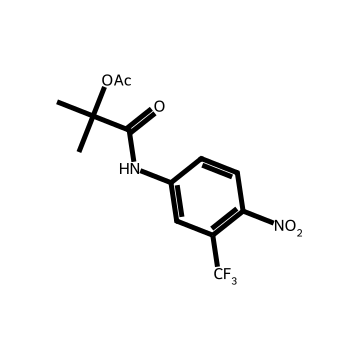 CC(=O)OC(C)(C)C(=O)Nc1ccc([N+](=O)[O-])c(C(F)(F)F)c1